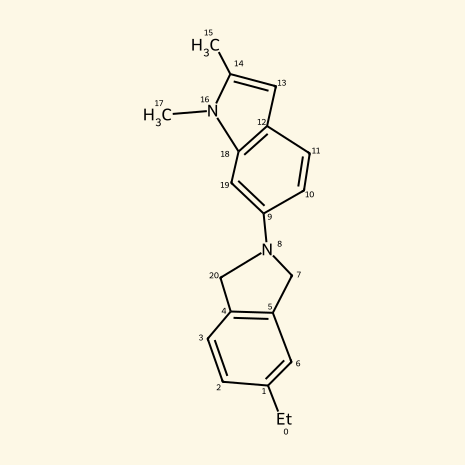 CCc1ccc2c(c1)CN(c1ccc3cc(C)n(C)c3c1)C2